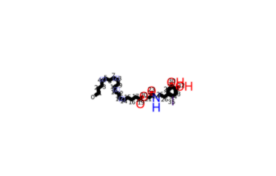 CCCC/C=C\C/C=C\C/C=C\C/C=C\CCCC(=O)OCC(=O)NCCc1cc(O)c(O)cc1I